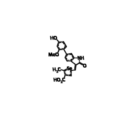 COc1cc(O)ccc1-c1ccc2c(c1)NC(=O)C2=Cc1cc(C(=O)O)c(C)[se]1